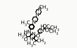 C=C(C)c1nc(C(N)=O)c(Nc2ccc(N3CCC(N4CCN(C)CC4)CC3)c(C)c2)nc1O[C@@H]1CCN(C(=O)OC(C)(C)C)C1